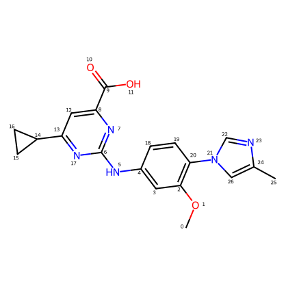 COc1cc(Nc2nc(C(=O)O)cc(C3CC3)n2)ccc1-n1cnc(C)c1